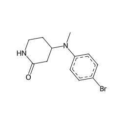 CN(c1ccc(Br)cc1)C1CCNC(=O)C1